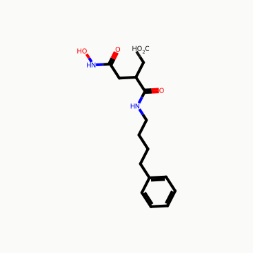 O=C(O)CC(CC(=O)NO)C(=O)NCCCCc1ccccc1